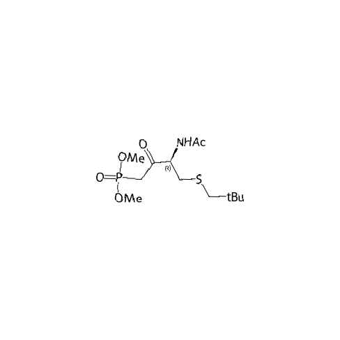 COP(=O)(CC(=O)[C@H](CSCC(C)(C)C)NC(C)=O)OC